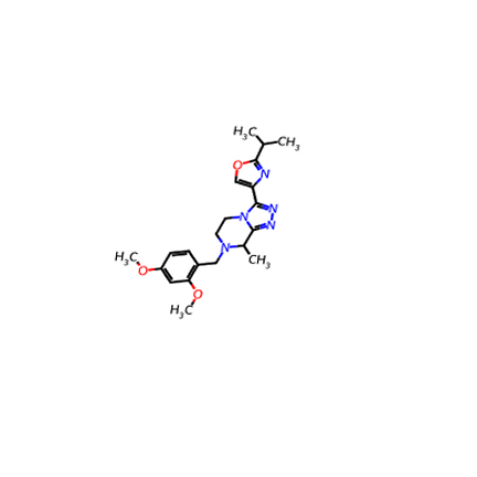 COc1ccc(CN2CCn3c(-c4coc(C(C)C)n4)nnc3C2C)c(OC)c1